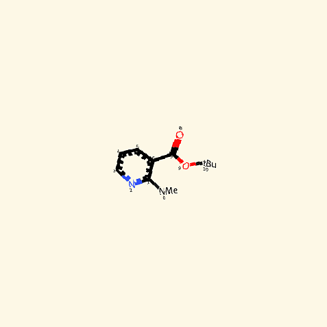 CNc1ncccc1C(=O)OC(C)(C)C